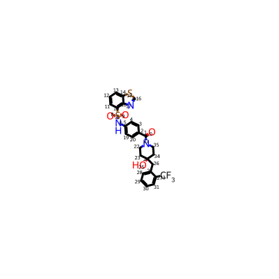 O=C(c1ccc(NS(=O)(=O)c2cccc3scnc23)cc1)N1CCC(O)(Cc2ccccc2C(F)(F)F)CC1